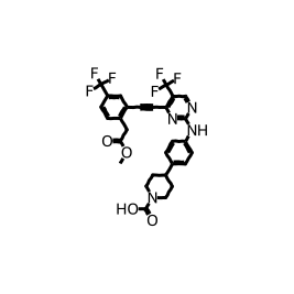 COC(=O)Cc1ccc(C(F)(F)F)cc1C#Cc1nc(Nc2ccc(C3CCN(C(=O)O)CC3)cc2)ncc1C(F)(F)F